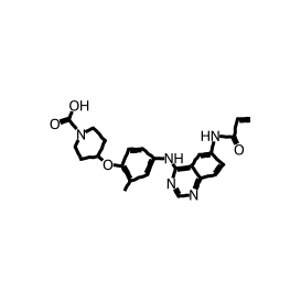 C=CC(=O)Nc1ccc2ncnc(Nc3ccc(OC4CCN(C(=O)O)CC4)c(C)c3)c2c1